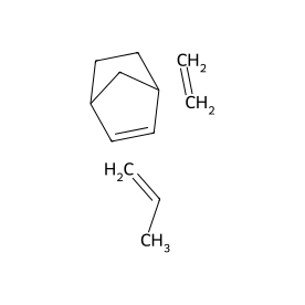 C1=CC2CCC1C2.C=C.C=CC